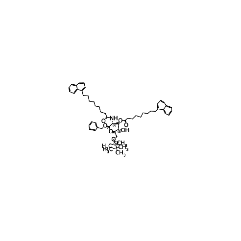 CC(C)(C)[Si](C)(C)OC[C@H]1O[C@@H](OCc2ccccc2)[C@H](NC(=O)CCCCCCCCc2cccc3ccccc23)[C@@H](OC(=O)CCCCCCCCc2cccc3ccccc23)[C@@H]1O